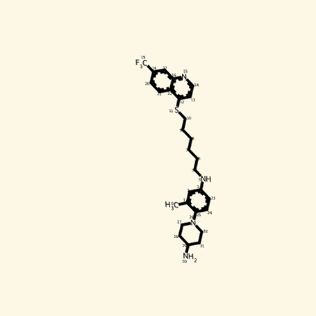 Cc1cc(NCCCCCCSc2ccnc3cc(C(F)(F)F)ccc23)ccc1N1CCC(N)CC1